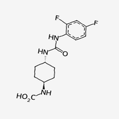 O=C(O)N[C@H]1CC[C@H](NC(=O)Nc2ccc(F)cc2F)CC1